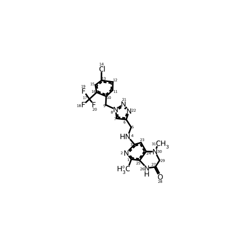 Cc1nc(NCc2cn(Cc3ccc(Cl)cc3C(F)(F)F)nn2)cc2c1NC(=O)CN2C